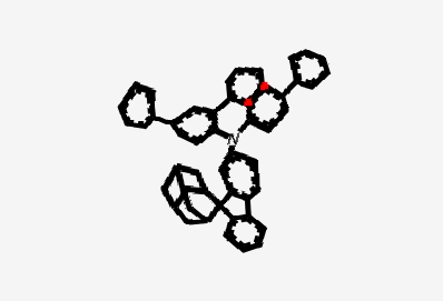 c1ccc(-c2ccc(N(c3ccc4c(c3)C3(c5ccccc5-4)C4CC5CC(C4)CC3C5)c3ccc(-c4ccccc4)cc3-c3ccccc3)cc2)cc1